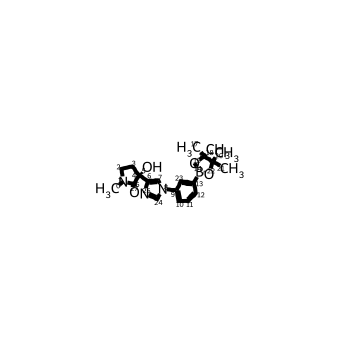 CN1CC[C@](O)(c2cn(-c3cccc(B4OC(C)(C)C(C)(C)O4)c3)cn2)C1=O